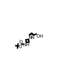 CC(C)(C)OC(=O)N[C@H]1C[C@@H](n2ccc(CO)n2)C1